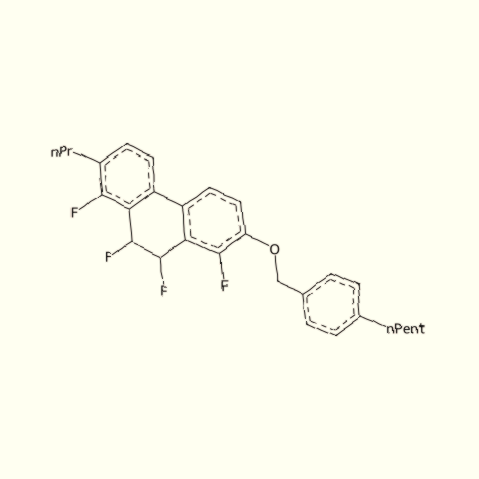 CCCCCc1ccc(COc2ccc3c(c2F)C(F)C(F)c2c-3ccc(CCC)c2F)cc1